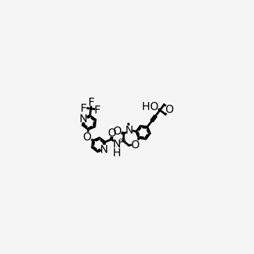 CN1C(=O)[C@@H](NC(=O)c2cc(Oc3ccc(C(F)(F)F)nc3)ccn2)COc2ccc(C#CC3(O)COC3)cc21